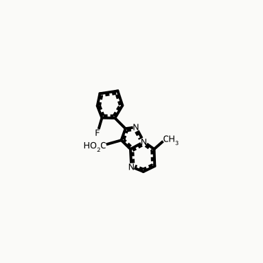 Cc1ccnc2c(C(=O)O)c(-c3ccccc3F)nn12